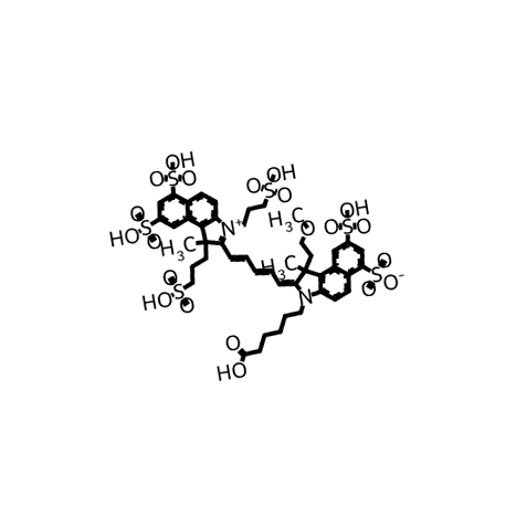 COCCC1(C)\C(=C/C=C/C=C/C2=[N+](CCCS(=O)(=O)O)c3ccc4c(S(=O)(=O)O)cc(S(=O)(=O)O)cc4c3C2(C)CCCS(=O)(=O)O)N(CCCCCC(=O)O)c2ccc3c(S(=O)(=O)[O-])cc(S(=O)(=O)O)cc3c21